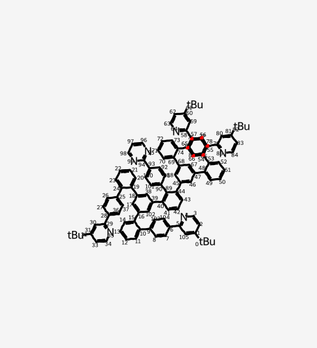 CC(C)(C)c1ccnc(-c2ccc(-c3ccccc3-c3cc(-c4ccccc4-c4ccc(-c5cc(C(C)(C)C)ccn5)cc4)cc(-c4cccc(-c5cc(-c6ccccc6-c6ccc(-c7cc(C(C)(C)C)ccn7)cc6)cc(-c6ccccc6-c6ccc(-c7cc(C(C)(C)C)ccn7)cc6)c5)c4-c4ccc(-c5ncccn5)cc4)c3)cc2)c1